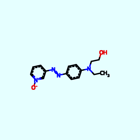 CCN(CCO)c1ccc(/N=N/c2ccc[n+]([O-])c2)cc1